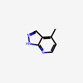 [CH2]c1ccnc2[nH]ncc12